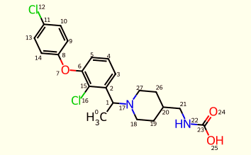 CC(c1cccc(Oc2ccc(Cl)cc2)c1Cl)N1CCC(CNC(=O)O)CC1